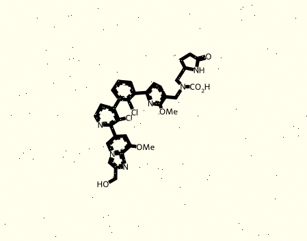 COc1nc(-c2cccc(-c3ccnc(-c4cc(OC)c5nc(CO)cn5c4)c3Cl)c2Cl)ccc1CN(CC1CCC(=O)N1)C(=O)O